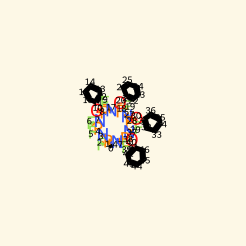 CP1(F)=NP(F)(F)=NP(F)(Oc2ccccc2)=NP(F)(Oc2ccccc2)=NP(F)(Oc2ccccc2)=NP(F)(Oc2ccccc2)=N1